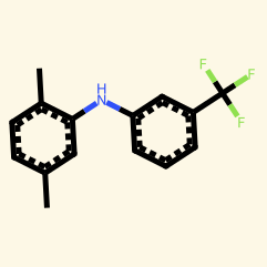 Cc1ccc(C)c(Nc2cccc(C(F)(F)F)c2)c1